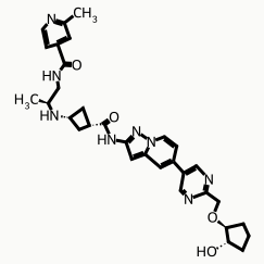 Cc1cc(C(=O)NC[C@H](C)N[C@H]2C[C@@H](C(=O)Nc3cc4cc(-c5cnc(CO[C@H]6CCC[C@@H]6O)nc5)ccn4n3)C2)ccn1